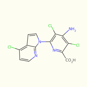 Nc1c(Cl)c(C(=O)O)nc(-n2ccc3c(Cl)ccnc32)c1Cl